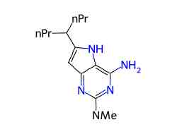 CCCC(CCC)c1cc2nc(NC)nc(N)c2[nH]1